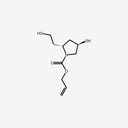 C=CCOC(=O)N1C[C@H](O)C[C@H]1CCO